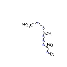 CC/C=C\C[C@H](\C=C/C=C/C=C/[C@@H](O)C/C=C\C/C=C\CCC(=O)O)N=O